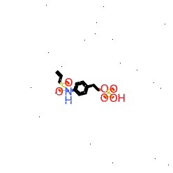 C=CCS(=O)(=O)Nc1ccc(CCOS(=O)(=O)O)cc1